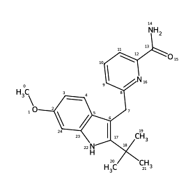 COc1ccc2c(Cc3cccc(C(N)=O)n3)c(C(C)(C)C)[nH]c2c1